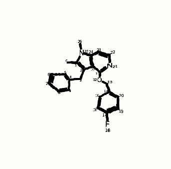 Cc1c(Cc2ccccc2)c2c(OCc3ccc(F)cc3)nccc2n1C